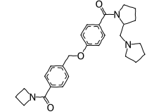 O=C(c1ccc(COc2ccc(C(=O)N3CCCC3CN3CCCC3)cc2)cc1)N1CCC1